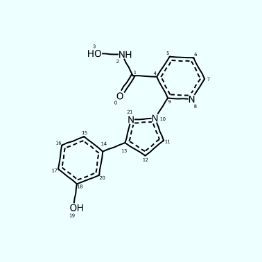 O=C(NO)c1cccnc1-n1ccc(-c2cccc(O)c2)n1